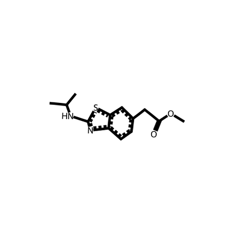 COC(=O)Cc1ccc2nc(NC(C)C)sc2c1